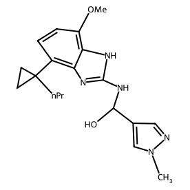 CCCC1(c2ccc(OC)c3[nH]c(NC(O)c4cnn(C)c4)nc23)CC1